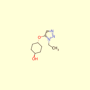 CCn1nncc1O[C@H]1CC[C@H](O)CC1